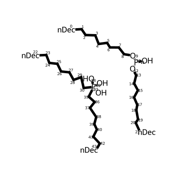 CCCCCCCCCCCCCCCCCCOP(O)OCCCCCCCCCCCCCCCCCC.CCCCCCCCCCCCCCCCCCP(O)(O)(O)CCCCCCCCCCCCCCCCCC